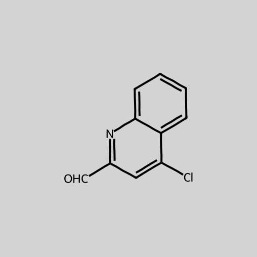 O=Cc1cc(Cl)c2ccccc2n1